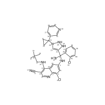 BC(Nc1cc(Cl)c2ncc(C#N)c(NCC(C)(C)C)c2c1)(C1=CN(C2(c3cccnc3)CC2)NN1)c1ccccc1Cl